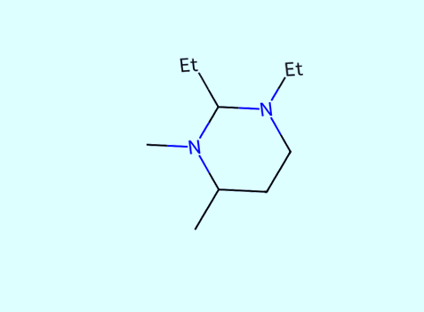 CCC1N(CC)CCC(C)N1C